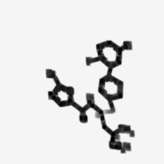 CCc1ncc(C(=O)N[C@H](Cc2ccc(-c3cc(Cl)ccc3F)cc2)C[C@@H](C)C(=O)O)o1